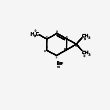 CC1C=C2C(CC1)C2(C)C.[Ba]